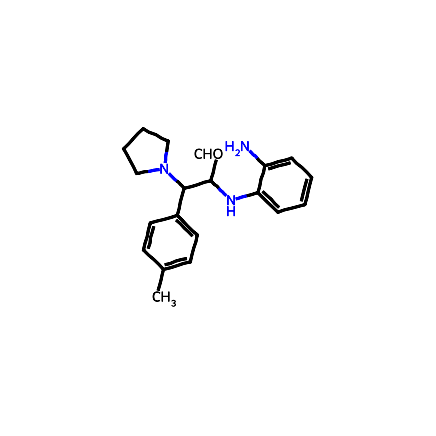 Cc1ccc(C(C(C=O)Nc2ccccc2N)N2CCCC2)cc1